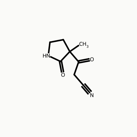 CC1(C(=O)CC#N)CCNC1=O